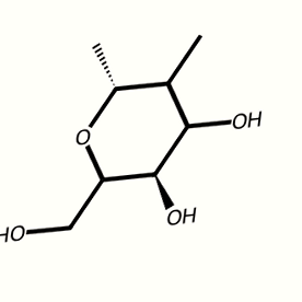 CC1C(O)[C@@H](O)C(CO)O[C@@H]1C